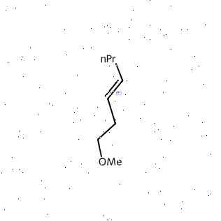 [CH2]CC/C=C/CCOC